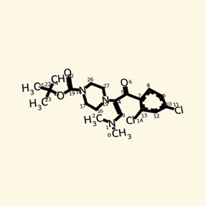 CN(C)C=C(C(=O)c1ccc(Cl)cc1Cl)N1CCN(C(=O)OC(C)(C)C)CC1